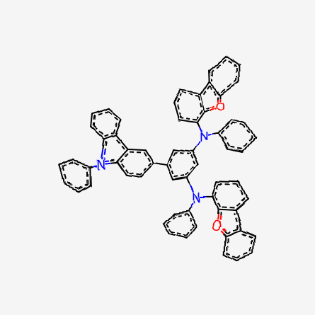 c1ccc(N(c2cc(-c3ccc4c(c3)c3ccccc3n4-c3ccccc3)cc(N(c3ccccc3)c3cccc4c3oc3ccccc34)c2)c2cccc3c2oc2ccccc23)cc1